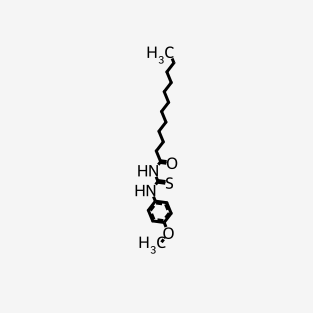 CCCCCCCCCCCC(=O)NC(=S)Nc1ccc(OC)cc1